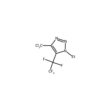 CCn1nnc(C(Cl)(Cl)Cl)c1C(F)(F)C(F)(F)F